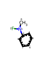 CN(F)c1cc[c]cc1